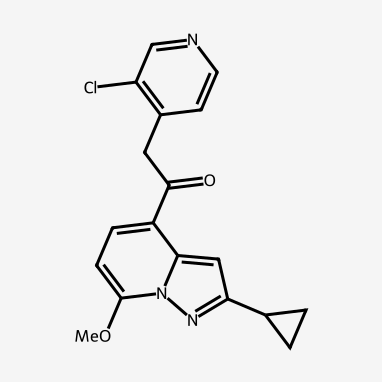 COc1ccc(C(=O)Cc2ccncc2Cl)c2cc(C3CC3)nn12